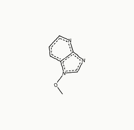 COn1cnc2ncccc21